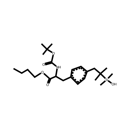 CCCCOC(=O)C(Cc1ccc(CC(C)(C)[Si](C)(C)O)cc1)NC(=O)OC(C)(C)C